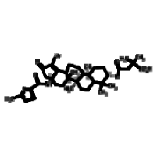 Cc1ccc(C(=O)N[C@@]23CC[C@]4(C)C(CCC5[C@@]6(C)CC[C@H](OC(=O)CC(C)(C)C(=O)O)C(C)(C)C6CC[C@]54C)C2=C(C(C)C)C(=O)C3)s1